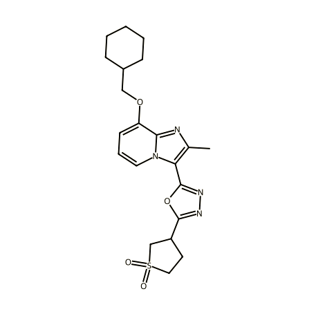 Cc1nc2c(OCC3CCCCC3)cccn2c1-c1nnc(C2CCS(=O)(=O)C2)o1